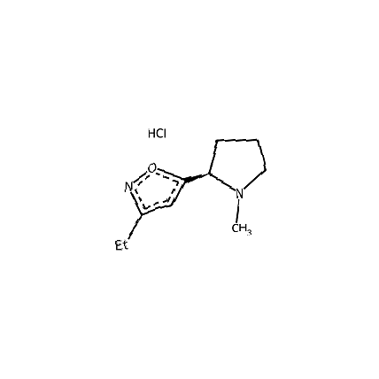 CCc1cc([C@H]2CCCN2C)on1.Cl